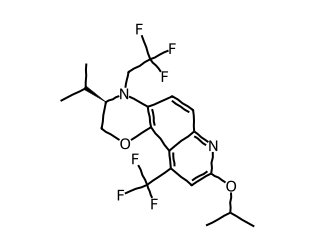 CC(C)Oc1cc(C(F)(F)F)c2c3c(ccc2n1)N(CC(F)(F)F)[C@H](C(C)C)CO3